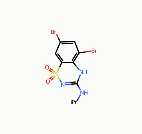 CC(C)NC1=NS(=O)(=O)c2cc(Br)cc(Br)c2N1